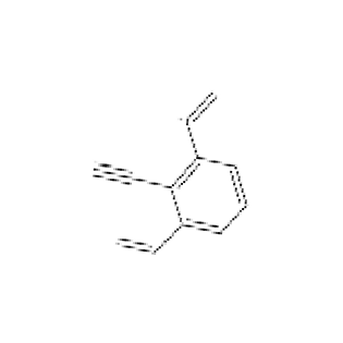 C#Cc1c([C]=C)cccc1C=C